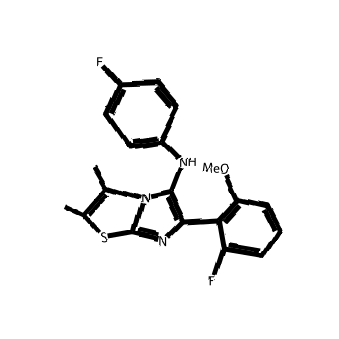 COc1cccc(F)c1-c1nc2sc(C)c(C)n2c1Nc1ccc(F)cc1